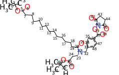 CC(C)(C)OC(=O)CCCCCCCCCCCCCC(=O)N(CCC(=O)OC(C)(C)C)Cc1ccc(C(=O)ON2C(=O)CCC2=O)cc1